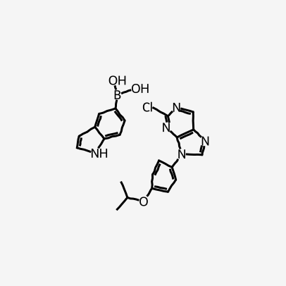 CC(C)Oc1ccc(-n2cnc3cnc(Cl)nc32)cc1.OB(O)c1ccc2[nH]ccc2c1